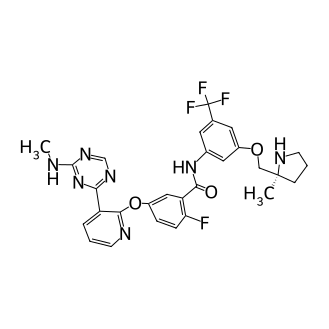 CNc1ncnc(-c2cccnc2Oc2ccc(F)c(C(=O)Nc3cc(OC[C@]4(C)CCCN4)cc(C(F)(F)F)c3)c2)n1